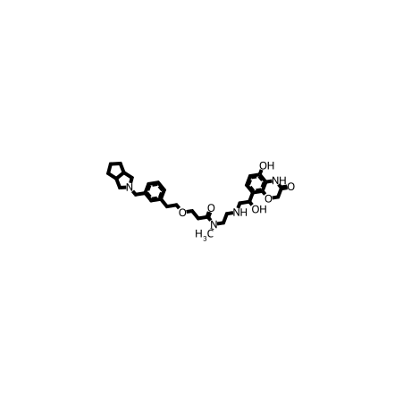 CN(CCNCC(O)c1ccc(O)c2c1OCC(=O)N2)C(=O)CCOCCc1cccc(CN2CC3CCCC3C2)c1